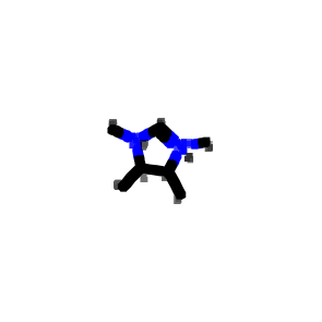 CC1C(C)[N+](C)=CN1C